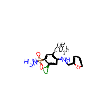 NS(=O)(=O)c1cc(C(=O)O)c(NCc2ccco2)cc1Cl.[LiH]